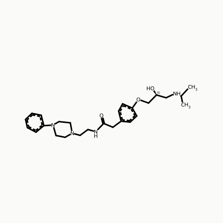 CC(C)NC[C@H](O)COc1ccc(CC(=O)NCCN2CCN(c3ccccc3)CC2)cc1